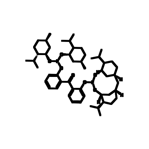 CC(C)C1CC[C@@H](C)C[C@H]1OP(Oc1ccccc1C(=O)c1ccccc1OP1O[C@@H]2C[C@@H](CCC2C(C)C)C[C@@H]2CC[C@@H](C(C)C)[C@@H](C2)O1)O[C@@H]1C[C@H](C)CC[C@H]1C(C)C